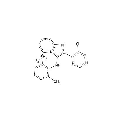 Cc1cccc(C)c1Nc1c(-c2ccncc2Cl)nc2cccc(C)n12